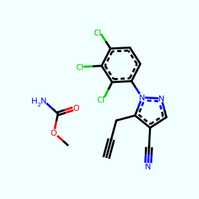 C#CCc1c(C#N)cnn1-c1ccc(Cl)c(Cl)c1Cl.COC(N)=O